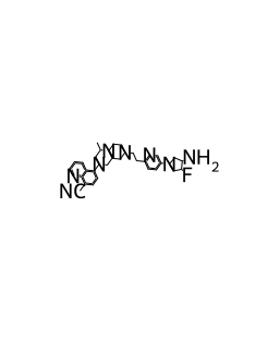 CC1CN(c2ccc(C#N)c3ncccc23)CC2CN(CCc3ccc(N4CC(N)C(F)C4)cn3)CCN12